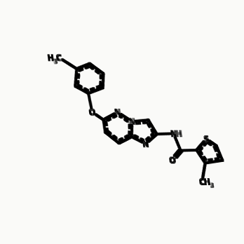 Cc1cccc(Oc2ccc3nc(NC(=O)c4sccc4C)cn3n2)c1